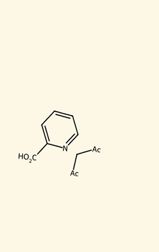 CC(=O)CC(C)=O.O=C(O)c1ccccn1